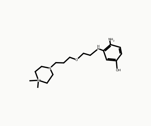 C[N+]1(C)CCN(CCCOCCNc2cc(O)ccc2N)CC1